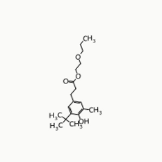 CCCOCCOC(=O)CCc1cc(C)c(O)c(C(C)(C)C)c1